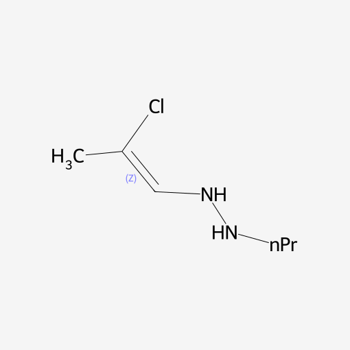 CCCNN/C=C(/C)Cl